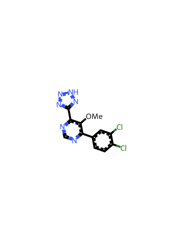 COc1c(-c2ccc(Cl)c(Cl)c2)ncnc1-c1nn[nH]n1